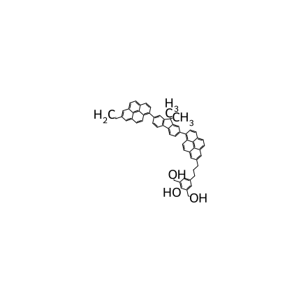 C=Cc1cc2ccc3ccc(-c4ccc5c(c4)C(C)(C)c4cc(-c6ccc7ccc8cc(CCCc9cc(CO)c(O)c(CO)c9)cc9ccc6c7c89)ccc4-5)c4ccc(c1)c2c34